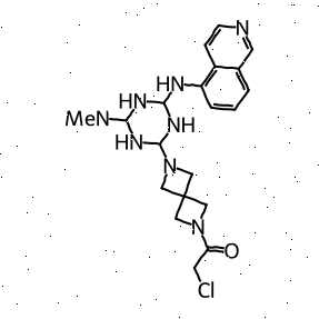 CNC1NC(Nc2cccc3cnccc23)NC(N2CC3(CN(C(=O)CCl)C3)C2)N1